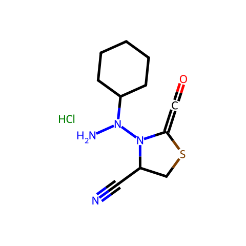 Cl.N#CC1CSC(=C=O)N1N(N)C1CCCCC1